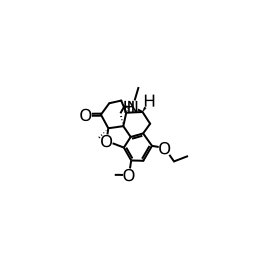 CCOc1cc(OC)c2c3c1C[C@@H]1[C@@H]4CCC(=O)[C@](C)(O2)[C@]34CCN1C